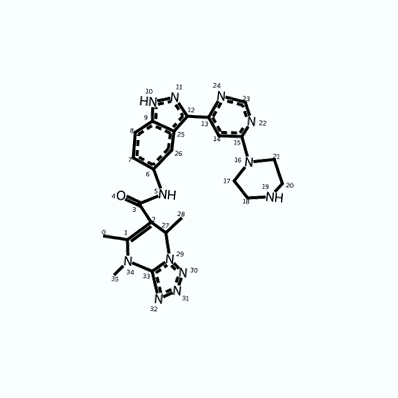 CC1=C(C(=O)Nc2ccc3[nH]nc(-c4cc(N5CCNCC5)ncn4)c3c2)C(C)n2nnnc2N1C